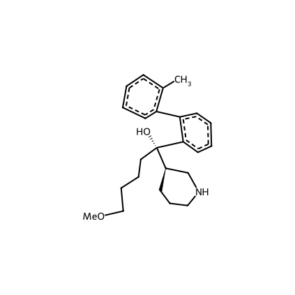 COCCCC[C@@](O)(c1ccccc1-c1ccccc1C)[C@@H]1CCCNC1